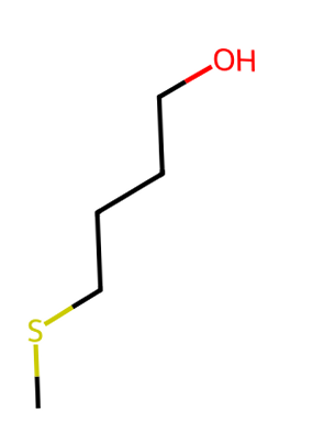 CSCCCCO